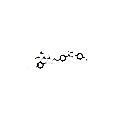 CCCC(=O)S/C(=N\C(=O)NCCc1ccc(-c2ncn(-c3ccc(OC(F)(F)F)cc3)n2)cc1)N(CCC(F)(F)F)c1cc(C)ccc1C(C)C